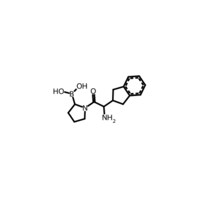 NC(C(=O)N1CCCC1B(O)O)C1Cc2ccccc2C1